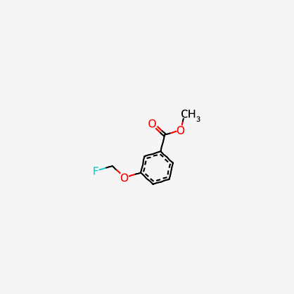 COC(=O)c1cccc(OCF)c1